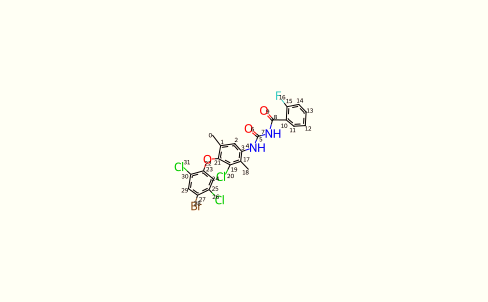 Cc1cc(NC(=O)NC(=O)c2ccccc2F)c(C)c(Cl)c1Oc1cc(Cl)c(Br)cc1Cl